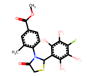 Bc1c(B)c(C2SCC(=O)N2c2ccc(C(=O)OC)cc2C)c(B)c(B)c1F